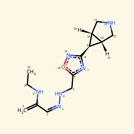 C=C(/C=N\NCc1nc([C@H]2[C@@H]3CNC[C@@H]32)no1)NCC